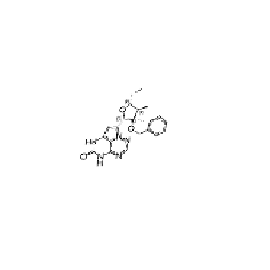 CC[C@H]1O[C@@H](c2cc3c4c(ncnn24)NC(=O)N3)[C@](C)(OCc2ccccc2)[C@@H]1C